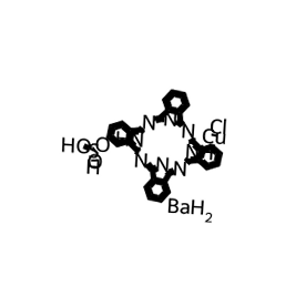 O=[SH](=O)O.[BaH2].[Cl][Cu][c]1cccc2c3nc4nc(nc5[nH]c(nc6nc(nc([nH]3)c12)-c1ccccc1-6)c1ccccc51)-c1ccccc1-4